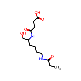 CCC(=O)NCCCCC(CO)NC(=O)CCC(=O)O